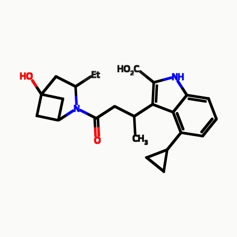 CCC1CC2(O)CC(C2)N1C(=O)CC(C)c1c(C(=O)O)[nH]c2cccc(C3CC3)c12